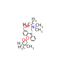 CC(C)N(CC[C@H](c1ccccc1)c1cc(CO)ccc1OC(=O)CC(C)(C)C)C(C)C